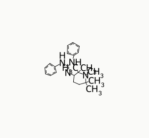 CN1C(C)(C)CCC(N=C(Nc2ccccc2)Nc2ccccc2)C1(C)C